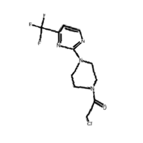 O=C(CCl)N1CCN(c2nccc(C(F)(F)F)n2)CC1